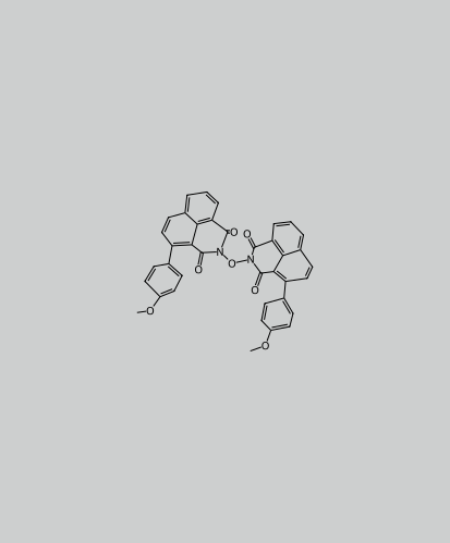 COc1ccc(-c2ccc3cccc4c3c2C(=O)N(ON2C(=O)c3cccc5ccc(-c6ccc(OC)cc6)c(c35)C2=O)C4=O)cc1